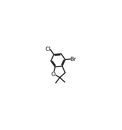 CC1(C)Cc2c(Br)cc(Cl)cc2O1